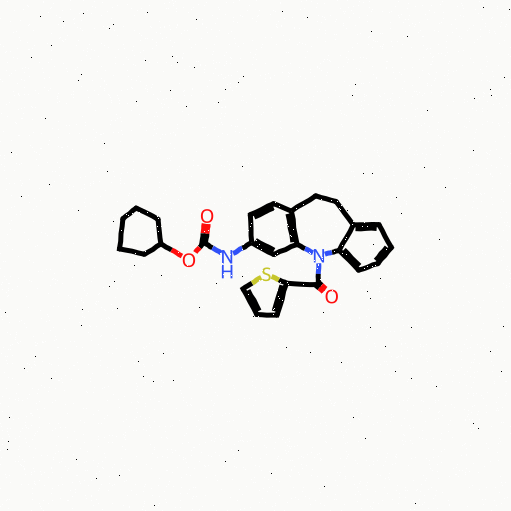 O=C(Nc1ccc2c(c1)N(C(=O)c1cccs1)c1ccccc1CC2)OC1CCCCC1